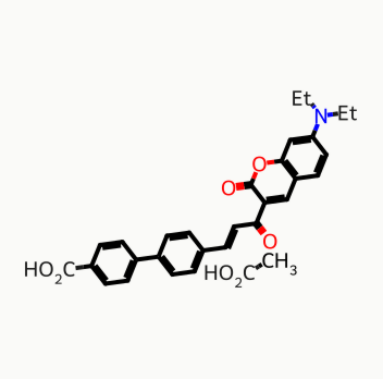 CC(=O)O.CCN(CC)c1ccc2cc(C(=O)C=Cc3ccc(-c4ccc(C(=O)O)cc4)cc3)c(=O)oc2c1